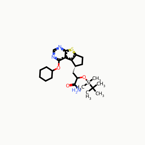 CC(C)(C)[Si](C)(C)OC(C[C@H]1CCc2sc3ncnc(OC4CCCCC4)c3c21)C(N)=O